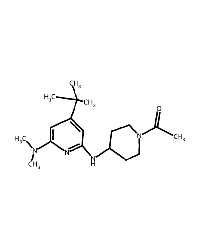 CC(=O)N1CCC(Nc2cc(C(C)(C)C)cc(N(C)C)n2)CC1